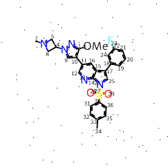 COc1nn(C2CN(C)C2)cc1-c1cnc2c(c1)c(-c1cccc(F)c1)cn2S(=O)(=O)c1ccc(C)cc1